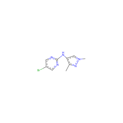 Cc1nn(C)cc1Nc1ncc(Br)cn1